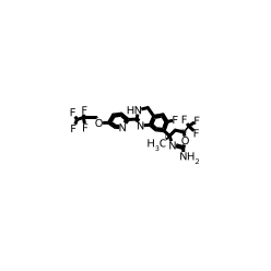 C[C@@]1(c2cc3c(cc2F)CNC(c2ccc(OCC(F)(F)C(F)F)cn2)=N3)C[C@@H](C(F)(F)F)OC(N)=N1